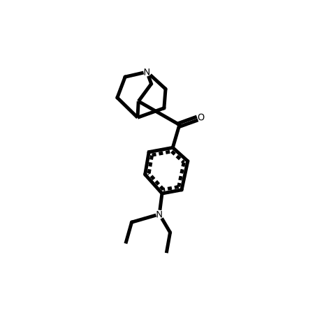 CCN(CC)c1ccc(C(=O)C2CN3CCC2CC3)cc1